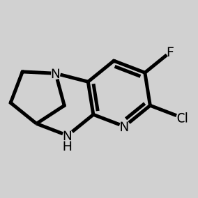 Fc1cc2c(nc1Cl)NC1CCN2C1